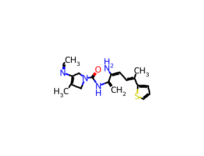 C=C(NC(=O)N1CC(C)=C(/N=C\C)C1)/C(N)=C\C=C(/C)c1cccs1